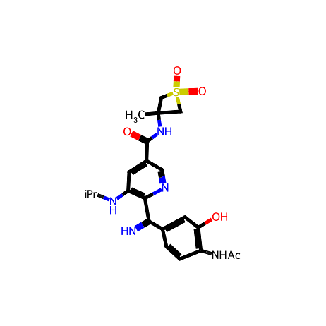 CC(=O)Nc1ccc(C(=N)c2ncc(C(=O)NC3(C)CS(=O)(=O)C3)cc2NC(C)C)cc1O